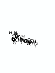 Cc1c(Cl)cccc1-c1cc(NCCNc2ccc(S(=O)(=O)C(C)C)cc2)nc(N)n1